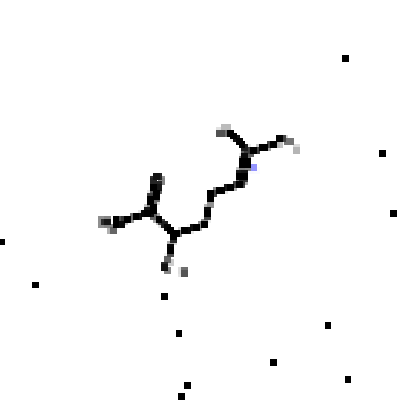 CC/C(C)=C\CCC(C)C(N)=O